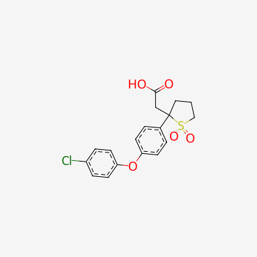 O=C(O)CC1(c2ccc(Oc3ccc(Cl)cc3)cc2)CCCS1(=O)=O